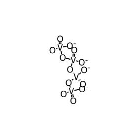 [O]=[V]([O-])([O-])[O][V](=[O])([O-])[O][V](=[O])([O-])[O][V](=[O])([O-])[O-]